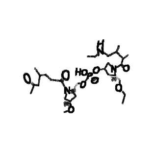 CCNCC(C)C(C)C(=O)N1CC(OP(=O)(O)OC[C@@H]2C[C@@H](OC)CN2C(=O)CCC(C)CC(C)=O)C[C@H]1COCC